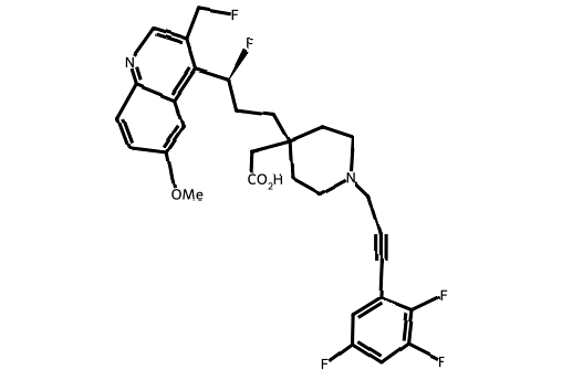 COc1ccc2ncc(CF)c([C@@H](F)CCC3(CC(=O)O)CCN(CC#Cc4cc(F)cc(F)c4F)CC3)c2c1